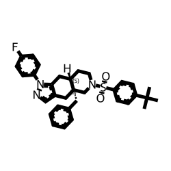 CC(C)(C)c1ccc(S(=O)(=O)N2CC[C@H]3Cc4c(cnn4-c4ccc(F)cc4)C[C@]3(Cc3ccccc3)C2)cc1